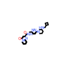 O=C(NCc1ccc(N2CCC[C@@H](NCC3CCC3)C2)nn1)c1cc(=O)n2ccccc2n1